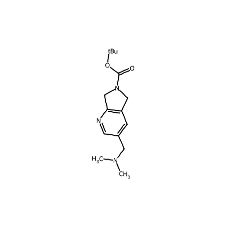 CN(C)Cc1cnc2c(c1)CN(C(=O)OC(C)(C)C)C2